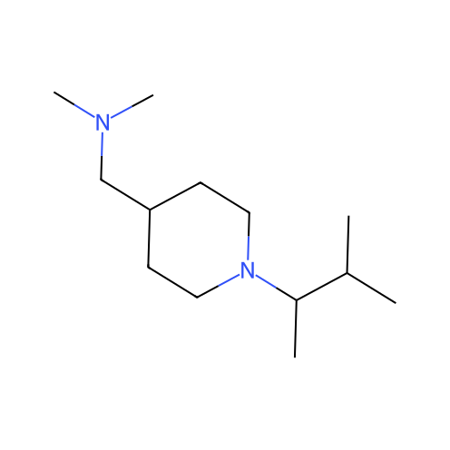 CC(C)C(C)N1CCC(CN(C)C)CC1